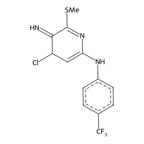 CSC1=NC(Nc2ccc(C(F)(F)F)cc2)=CC(Cl)C1=N